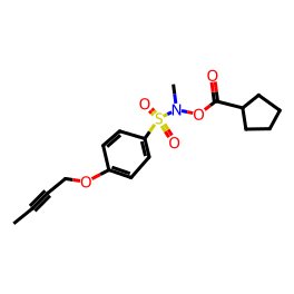 CC#CCOc1ccc(S(=O)(=O)N(C)OC(=O)C2CCCC2)cc1